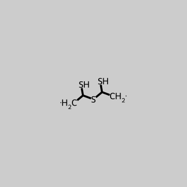 [CH2]C(S)SC([CH2])S